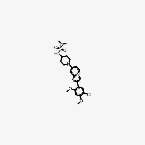 COc1cc(OC)c(-c2cn3ccc(N4CCC(NS(=O)(=O)N(C)C)CC4)cc3n2)cc1Cl